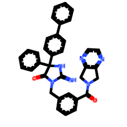 N=C1NC(c2ccccc2)(c2ccc(-c3ccccc3)cc2)C(=O)N1Cc1cccc(C(=O)N2Cc3nccnc3C2)c1